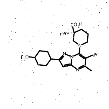 CCC[C@]1(C(=O)O)CCCN(c2c(C(C)C)c(C)nc3cc(C4CCC(C(F)(F)F)CC4)nn23)C1